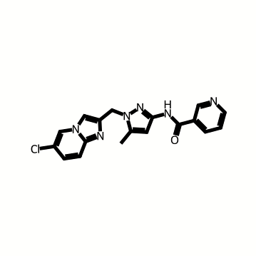 Cc1cc(NC(=O)c2cccnc2)nn1Cc1cn2cc(Cl)ccc2n1